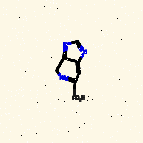 O=C(O)C1=NCC2=NC=NC2=C1